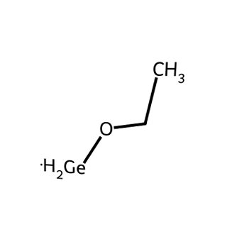 CC[O][GeH2]